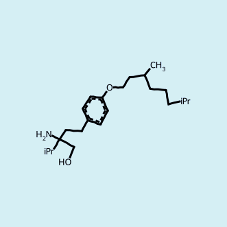 CC(C)CCCC(C)CCOc1ccc(CCC(N)(CO)C(C)C)cc1